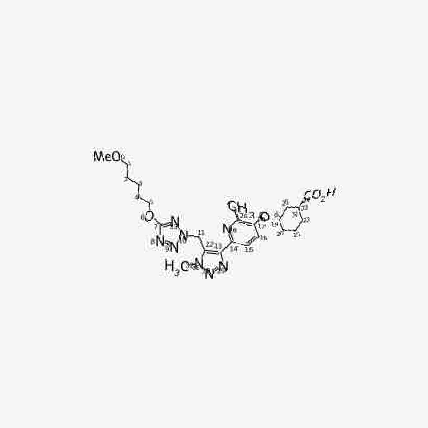 COCCCCCOc1nnn(Cc2c(-c3ccc(O[C@H]4CCC[C@H](C(=O)O)C4)c(C)n3)nnn2C)n1